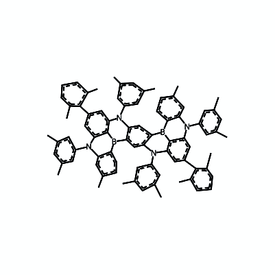 Cc1cc(C)cc(N2c3cc(C)ccc3B3c4cc5c(cc4N(c4cc(C)cc(C)c4)c4cc(-c6c(C)cccc6C)cc2c43)B2c3ccc(C)cc3N(c3cc(C)cc(C)c3)c3cc(-c4c(C)cccc4C)cc(c32)N5c2cc(C)cc(C)c2)c1